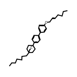 CCCCC=CCOc1ccc(-c2ccc(C34CCC(CCCCCCC)(CC3)CC4)cc2)cc1